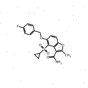 Cc1oc2ccc(OCc3ccc(F)cc3)c(S(=O)(=O)C3CC3)c2c1C(N)=O